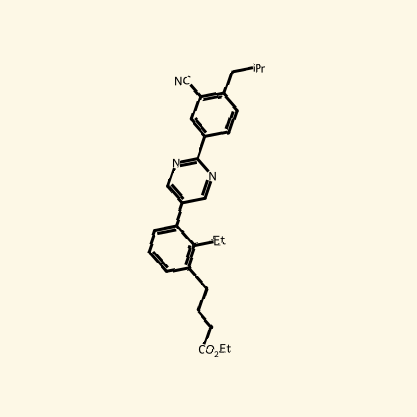 CCOC(=O)CCCc1cccc(-c2cnc(-c3ccc(CC(C)C)c(C#N)c3)nc2)c1CC